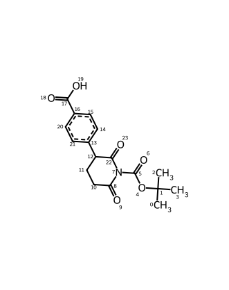 CC(C)(C)OC(=O)N1C(=O)CCC(c2ccc(C(=O)O)cc2)C1=O